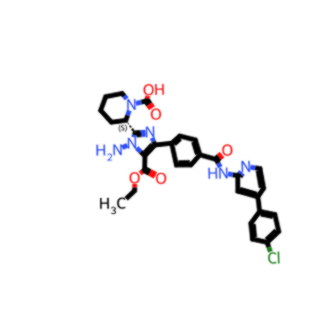 CCOC(=O)c1c(-c2ccc(C(=O)Nc3cc(-c4ccc(Cl)cc4)ccn3)cc2)nc([C@@H]2CCCCN2C(=O)O)n1N